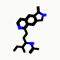 C=C(C)NC(CCc1nccc2cc3c(cc12)CNC3=C)C(C)CC